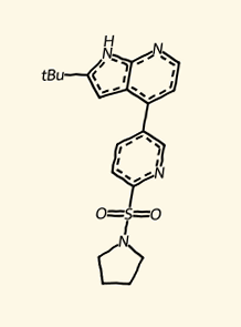 CC(C)(C)c1cc2c(-c3ccc(S(=O)(=O)N4CCCC4)nc3)ccnc2[nH]1